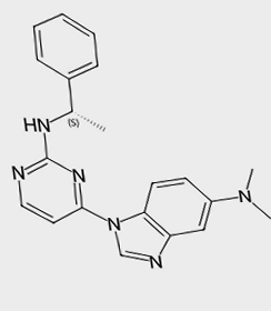 C[C@H](Nc1nccc(-n2cnc3cc(N(C)C)ccc32)n1)c1ccccc1